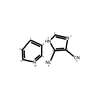 N#Cc1nc[nH]c1C#N.c1ccncc1